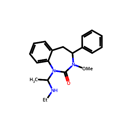 CCNC(C)N1C(=O)N(OC)C(c2ccccc2)Cc2ccccc21